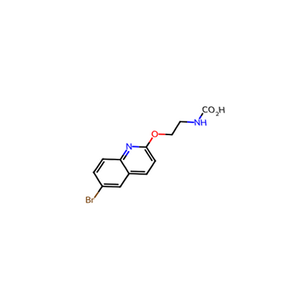 O=C(O)NCCOc1ccc2cc(Br)ccc2n1